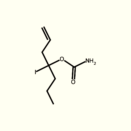 C=CCC(I)(CCC)OC(N)=O